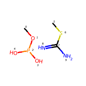 COP(O)O.CSC(=N)N